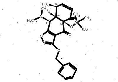 C[C@H]1C=CC(=O)[C@]2(O[Si](C)(C)C(C)(C)C)C(=O)c3c(OCc4ccccc4)noc3[C@@H](N(C)C)[C@H]12